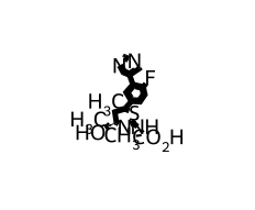 CC(C)(O)[C@@H]1C[C@@](C)(c2ccc(F)c(-c3cncnc3)c2)SC(NC(=O)O)=N1